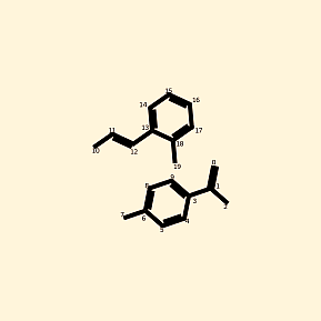 C=C(C)c1ccc(C)cc1.CC=Cc1ccccc1C